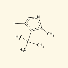 Cn1ncc(I)c1C(C)(C)C